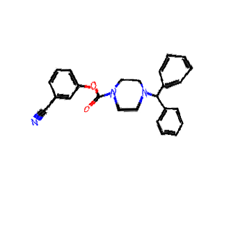 N#Cc1cccc(OC(=O)N2CCN(C(c3ccccc3)c3ccccc3)CC2)c1